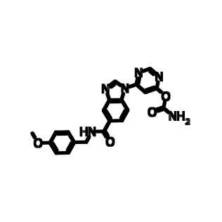 COc1ccc(CNC(=O)c2ccc3c(c2)ncn3-c2cc(OC(N)=O)ncn2)cc1